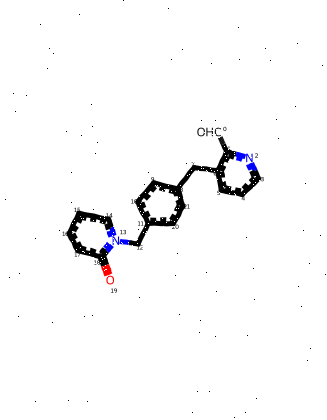 O=Cc1ncccc1Cc1ccc(Cn2ccccc2=O)cc1